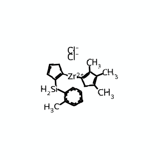 CC1=C(C)C(C)=[C]([Zr+2][C]2=C([SiH2]c3ccccc3C)C=CC2)C1.[Cl-].[Cl-]